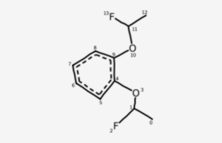 CC(F)Oc1ccccc1OC(C)F